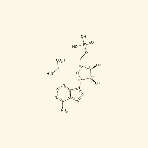 NCC(=O)O.Nc1ncnc2c1ncn2[C@@H]1O[C@H](COP(=O)(O)O)[C@@H](O)[C@H]1O